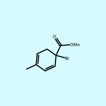 COC(=O)C1(Br)C=CC(C)=CC1